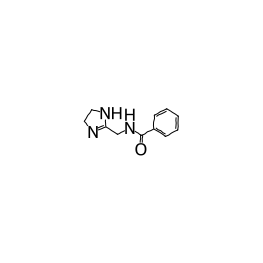 O=C(NCC1=NCCN1)c1ccccc1